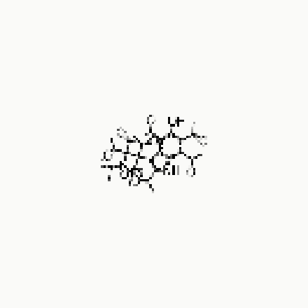 CC(=O)c1[nH]c2c(C(C)=O)c(C(C)=O)c(O)c(C(C)=O)c2c1C(C(C)=O)(C(C)=O)C(C(C)=O)(C(C)=O)N(C(C)=O)C(C)=O